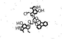 CC[C@@H]1CN(C(=O)CN(CC(=O)N2C[C@@H](CCl)c3c2cc(O)c2[nH]cc(C)c32)C(=O)OCC2c3ccccc3-c3ccccc32)c2cc(O)c3[nH]cc(C)c3c21